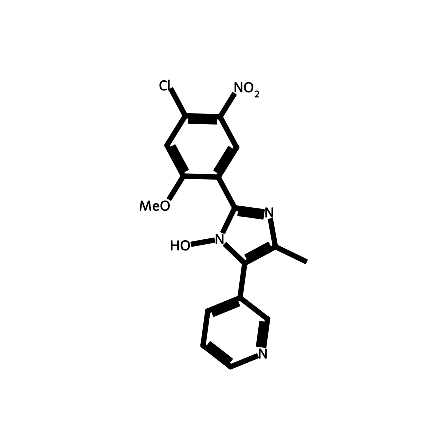 COc1cc(Cl)c([N+](=O)[O-])cc1-c1nc(C)c(-c2cccnc2)n1O